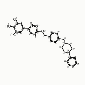 Oc1c(Cl)cc(-c2cnc(OCc3ccc(CN4CCN(c5ccccc5)CC4)cc3)nn2)cc1Cl